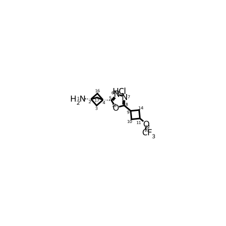 Cl.N[C@]12C[C@](c3nnc(C4CC(OC(F)(F)F)C4)o3)(C1)C2